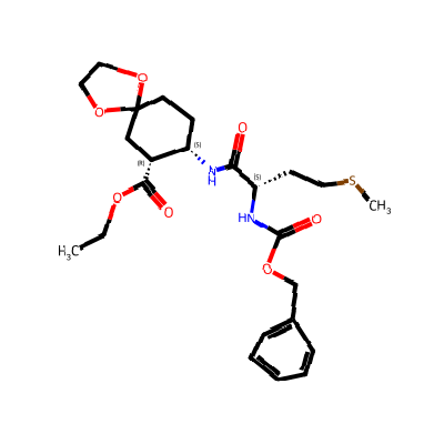 CCOC(=O)[C@@H]1CC2(CC[C@@H]1NC(=O)[C@H](CCSC)NC(=O)OCc1ccccc1)OCCO2